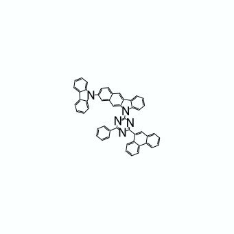 c1ccc(-c2nc(-c3cc4ccccc4c4ccccc34)nc(-n3c4ccccc4c4cc5ccc(-n6c7ccccc7c7ccccc76)cc5cc43)n2)cc1